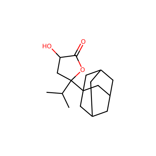 CC(C)C1(C23CC4CC(CC(C4)C2)C3)CC(O)C(=O)O1